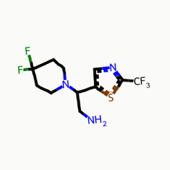 NCC(c1cnc(C(F)(F)F)s1)N1CCC(F)(F)CC1